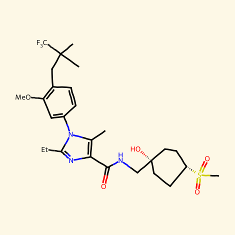 CCc1nc(C(=O)NC[C@]2(O)CC[C@@H](S(C)(=O)=O)CC2)c(C)n1-c1ccc(CC(C)(C)C(F)(F)F)c(OC)c1